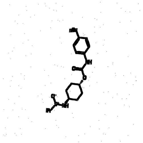 CCCCc1ccc(NC(=O)O[C@H]2CC[C@H](N[S+]([O-])C(C)C)CC2)cc1